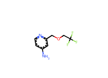 Nc1ccnc(COCC(F)(F)F)c1